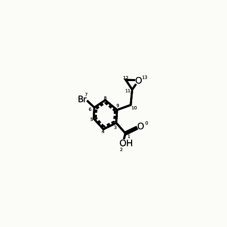 O=C(O)c1ccc(Br)cc1CC1CO1